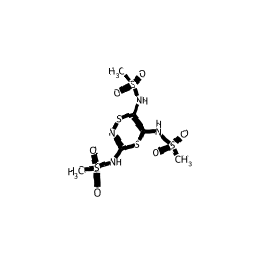 CS(=O)(=O)NC1=NSC(NS(C)(=O)=O)=C(NS(C)(=O)=O)S1